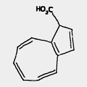 O=C(O)C1C=CC2=C1\C=C/C=C\C=C/2